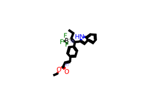 CCOC(=O)/C=C/c1ccc(/C(=C(/CC)[B-](F)(F)F)c2cc3ccccc3[nH]2)cc1